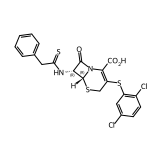 O=C(O)C1=C(Sc2cc(Cl)ccc2Cl)CS[C@@H]2[C@H](NC(=S)Cc3ccccc3)C(=O)N12